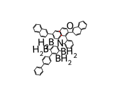 Bc1c(B)c(N(c2cccc(-c3ccc4ccccc4c3)c2)c2ccccc2-c2cccc3oc4c5ccccc5ccc4c23)c(B)c(B)c1-c1ccc(-c2ccccc2)cc1